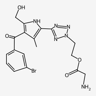 Cc1c(-c2nnn(CCOC(=O)CN)n2)[nH]c(CO)c1C(=O)c1cccc(Br)c1